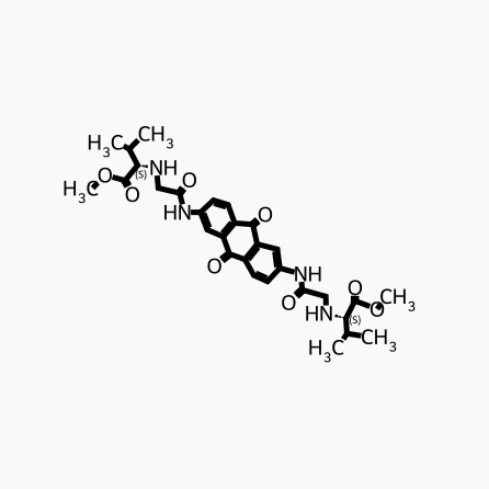 COC(=O)[C@@H](NCC(=O)Nc1ccc2c(c1)C(=O)c1ccc(NC(=O)CN[C@H](C(=O)OC)C(C)C)cc1C2=O)C(C)C